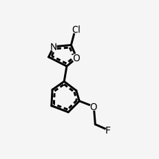 FCOc1cccc(-c2cnc(Cl)o2)c1